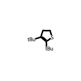 CC(C)(C)C1=C(C(C)(C)C)SCC1